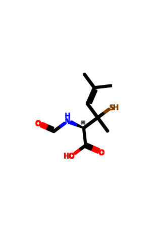 CC(C)=CC(C)(S)[C@H](NC=O)C(=O)O